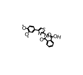 COc1ccc(-c2csc(NC(=O)c3ccccc3C(=O)O)n2)cc1OC